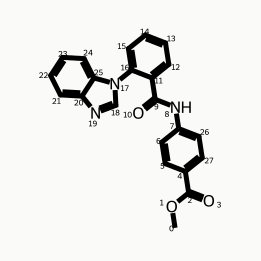 COC(=O)c1ccc(NC(=O)c2ccccc2-n2cnc3ccccc32)cc1